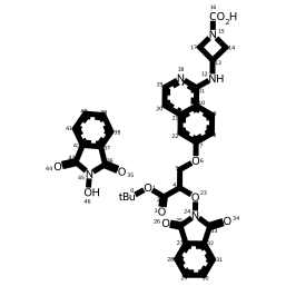 CC(C)(C)OC(=O)C(COc1ccc2c(NC3CN(C(=O)O)C3)nccc2c1)ON1C(=O)c2ccccc2C1=O.O=C1c2ccccc2C(=O)N1O